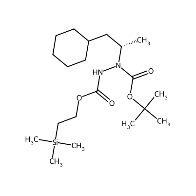 C[C@@H](CC1CCCCC1)N(NC(=O)OCC[Si](C)(C)C)C(=O)OC(C)(C)C